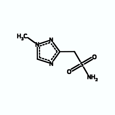 Cn1cnc(CS(N)(=O)=O)n1